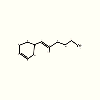 C/C(=C\C1CC=CCC1)CCCO